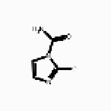 NC(=O)n1ccnc1[O]